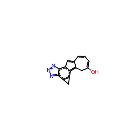 OC1=CC=CC2=Cc3c4c(c5c(c3=C2C1)C5)=NN=N4